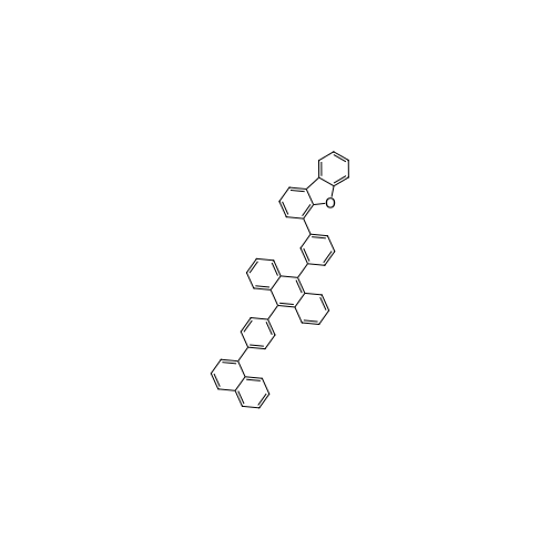 c1cc(-c2c3ccccc3c(-c3ccc(-c4cccc5ccccc45)cc3)c3ccccc23)cc(-c2cccc3c2oc2ccccc23)c1